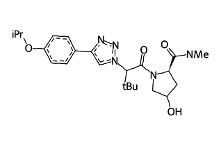 CNC(=O)[C@H]1CC(O)CN1C(=O)C(n1cc(-c2ccc(OC(C)C)cc2)nn1)C(C)(C)C